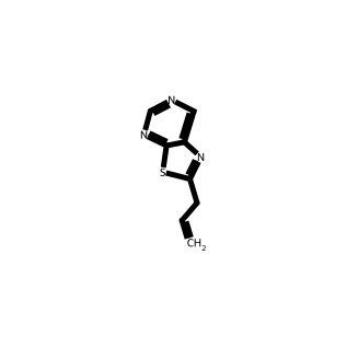 C=CCc1nc2cncnc2s1